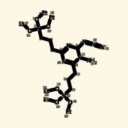 CCO[Si](CCCC1=NC(N=[N+]=[N-])N(N)C(CCC[Si](OCC)(OCC)OCC)=N1)(OCC)OCC